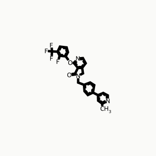 Cc1cc(-c2ccc(CN3Cc4ccnc(Oc5cccc(C(F)(F)F)c5F)c4C3=O)cc2)ccn1